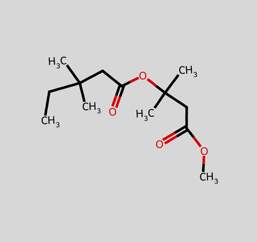 CCC(C)(C)CC(=O)OC(C)(C)CC(=O)OC